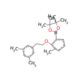 Cc1cc(C)cc(CCOc2c(C)cccc2B2OC(C)(C)C(C)(C)O2)c1